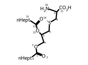 CCCCCCCC(=O)OCC(CSCC(N)C(=O)O)OC(=O)CCCCCCC